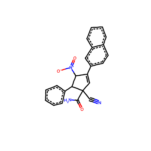 N#CC1(C(N)=O)C=C(c2ccc3ccccc3c2)C([N+](=O)[O-])C1c1ccccc1